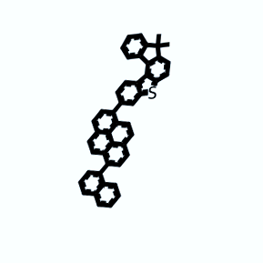 CC1(C)c2ccccc2-c2c1ccc1sc3cc(-c4ccc5ccc6c(-c7cccc8ccccc78)ccc7ccc4c5c76)ccc3c21